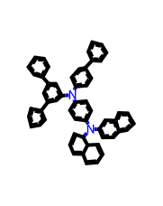 C1=CC2=CC=CC(N(c3ccc(N(c4ccc(-c5ccccc5)cc4)c4cc(-c5ccccc5)cc(-c5ccccc5)c4)cc3)c3ccc4ccccc4c3)C2C=C1